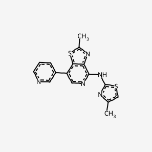 Cc1csc(Nc2ncc(-c3cccnc3)c3sc(C)nc23)n1